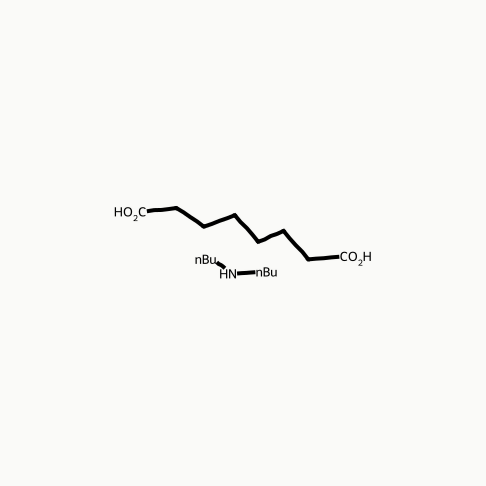 CCCCNCCCC.O=C(O)CCCCCCC(=O)O